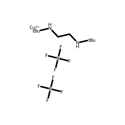 CC(C)(C)NCCNC(C)(C)C.F[B-](F)(F)F.F[B-](F)(F)F.[Cu+2]